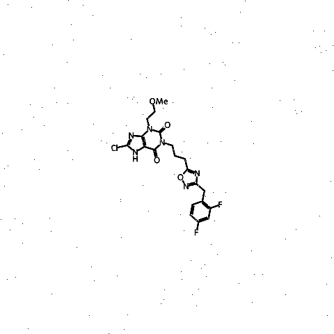 COCCn1c(=O)n(CCCc2nc(Cc3ccc(F)cc3F)no2)c(=O)c2[nH]c(Cl)nc21